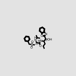 CCCC(NC(=O)[C@H](CS(=O)(=O)Cc1ccccc1)NC(C)C)[C@H](O)c1nc2ccccc2o1